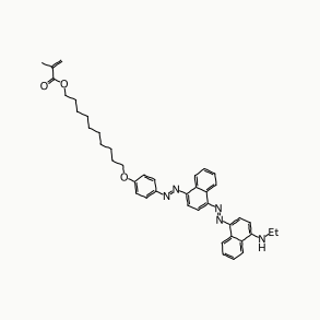 C=C(C)C(=O)OCCCCCCCCCCOc1ccc(/N=N/c2ccc(/N=N/c3ccc(NCC)c4ccccc34)c3ccccc23)cc1